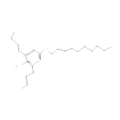 CCCCCCCCCCOc1cc(CCCC)c(O)c(CCCC)c1